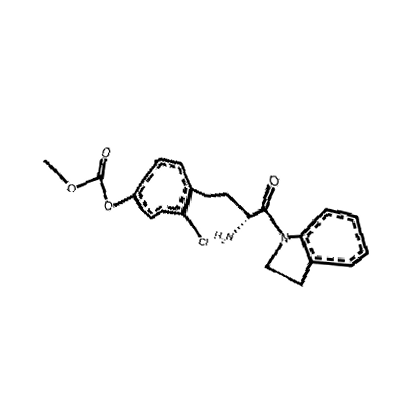 COC(=O)Oc1ccc(C[C@@H](N)C(=O)N2CCc3ccccc32)c(Cl)c1